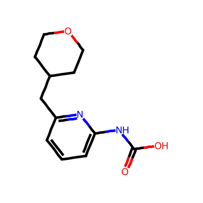 O=C(O)Nc1cccc(CC2CCOCC2)n1